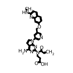 C=CC(=O)N(CCC(=O)O)c1nc(N)c2ccn(-c3cncc(COc4ccc5ccc(NC)nc5c4)c3)c2n1